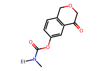 CCN(C)C(=O)Oc1ccc2c(c1)C(=O)COC2